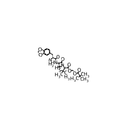 CC(C)(C)C(=O)OCOC(=O)[C@@H]1N2C(=O)[C@@H](NC(=O)C(N)Cc3ccc4c(c3)OCO4)[C@H]2SC1(C)C